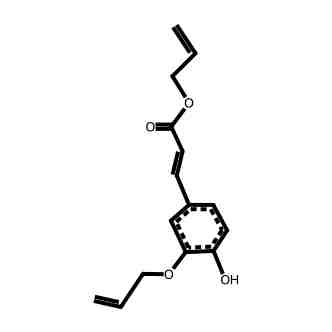 C=CCOC(=O)/C=C/c1ccc(O)c(OCC=C)c1